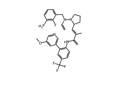 C=CN(Cc1cccc(P)c1F)N1CCCC1/C=C(\C)C(=C)Nc1ccc(C(F)(F)F)cc1-c1cncc(OC)c1